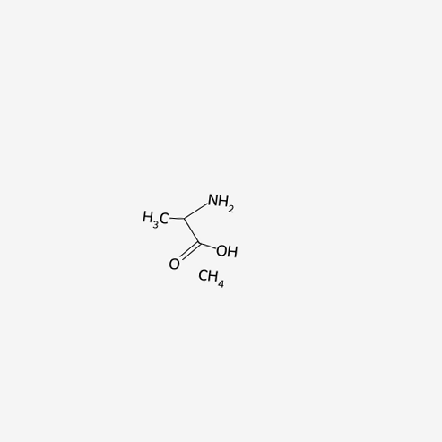 C.CC(N)C(=O)O